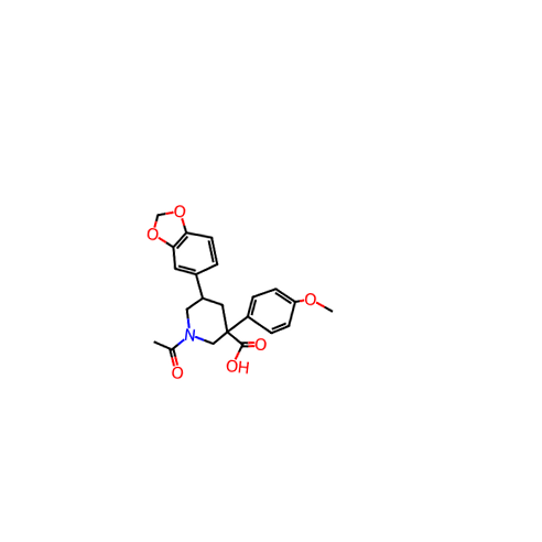 COc1ccc(C2(C(=O)O)CC(c3ccc4c(c3)OCO4)CN(C(C)=O)C2)cc1